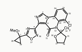 COC1(c2nc(-c3ncn4c3c(=O)n(C3(C)CCCO3)c3c(Cl)cccc34)no2)CC1